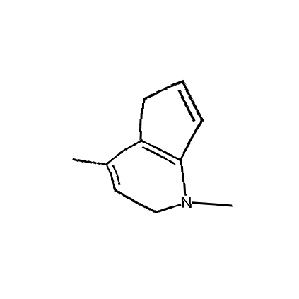 CC1=CCN(C)C2=C1CC=C2